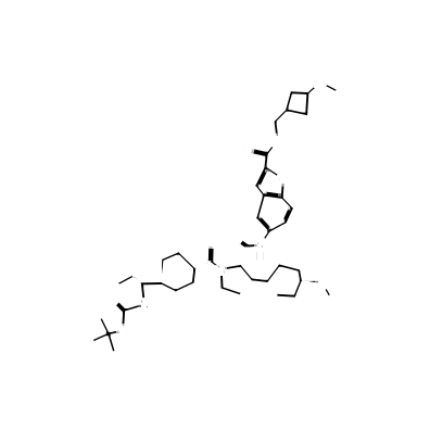 COC1CC(COC(=O)c2cc3cc(NC(=O)[C@@H]4[C@H]([C@H]5CC[C@H](OC)CC5)CCN4C(=O)[C@H]4CC[C@H]([C@@H](CF)NC(=O)OC(C)(C)C)CC4)ccc3o2)C1